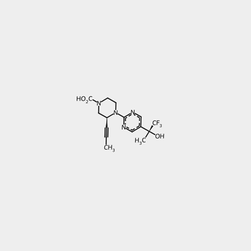 CC#C[C@H]1CN(C(=O)O)CCN1c1ncc([C@@](C)(O)C(F)(F)F)cn1